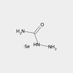 NNC(N)=O.[Se]